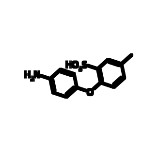 Cc1ccc(Oc2ccc(N)cc2)c(S(=O)(=O)O)c1